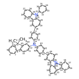 CC1(C)c2ccccc2-c2ccc(N(c3ccc(-c4ccc5c(c4)c4ccccc4n5-c4ccccc4)cc3)c3ccc(-c4ccc5c(c4)c4cccc6c7ccccc7n5c64)cc3)cc21